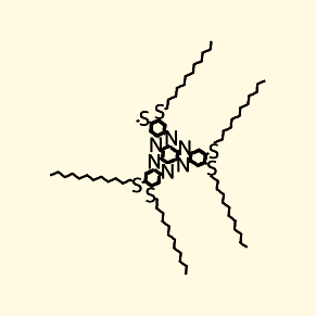 CCCCCCCCCCCCSc1cc2nc3c(nc2cc1SC)c1nc2cc(SCCCCCCCCCCCC)c(SCCCCCCCCCCCC)cc2nc1c1nc2cc(SCCCCCCCCCCCC)c(SCCCCCCCCCCCC)cc2nc31